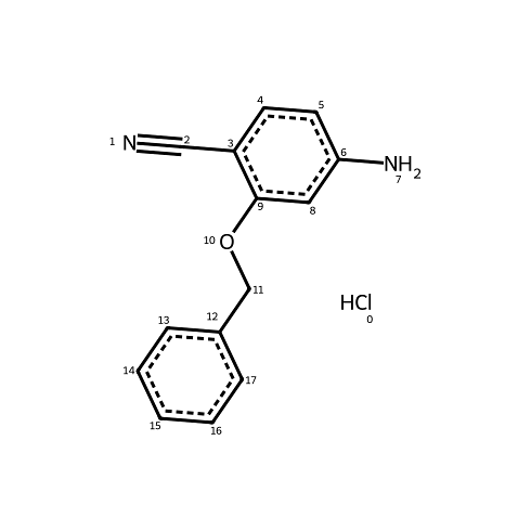 Cl.N#Cc1ccc(N)cc1OCc1ccccc1